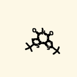 Cn1c(=O)c2cc(C(C)(C)C)sc2c2sc(C(C)(C)C)cc2c1=O